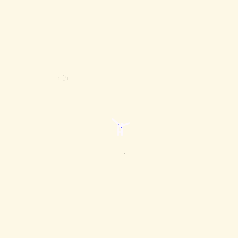 C=C(Nc1ccc(CCCC)cc1)c1c(C)cccc1C(C)=O